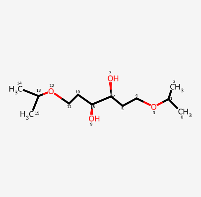 CC(C)OCC[C@H](O)[C@@H](O)CCOC(C)C